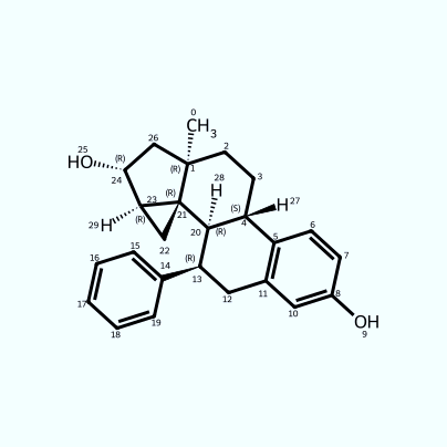 C[C@]12CC[C@@H]3c4ccc(O)cc4C[C@@H](c4ccccc4)[C@H]3[C@@]13C[C@H]3[C@H](O)C2